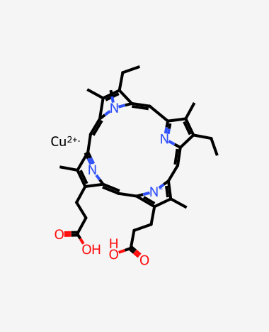 CCC1=C(C)c2cc3c(CC)c(C)c(cc4nc(cc5[n-]c(cc1n2)c(C)c5CCC(=O)O)C(CCC(=O)O)=C4C)n3C.[Cu+2]